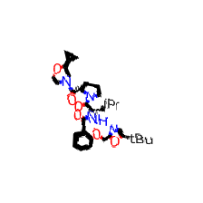 CC(C)C[C@@H](NC(=O)c1ccccc1OCc1ncc(C(C)(C)C)o1)C(=O)N1CCC[C@@H]1C(=O)N1CCOC(C2CC2)C1